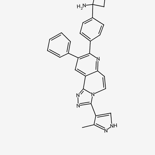 Cc1n[nH]cc1-c1nnc2c3cc(-c4ccccc4)c(-c4ccc(C5(N)CCC5)cc4)nc3ccn12